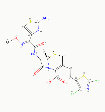 CON=C(C(=O)NC1C(=O)N2C(C(=O)O)=C(C=Cc3sc(Cl)nc3Cl)CS[C@@H]12)c1csc(N)n1